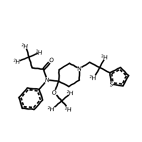 [2H]C([2H])([2H])CC(=O)N(c1ccccc1)C1(OC([2H])([2H])[2H])CCN(CC([2H])([2H])c2cccs2)CC1